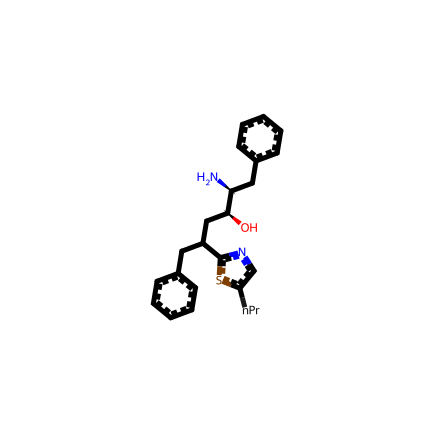 CCCc1cnc(C(Cc2ccccc2)C[C@H](O)[C@@H](N)Cc2ccccc2)s1